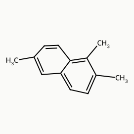 Cc1ccc2c(C)c(C)ccc2c1